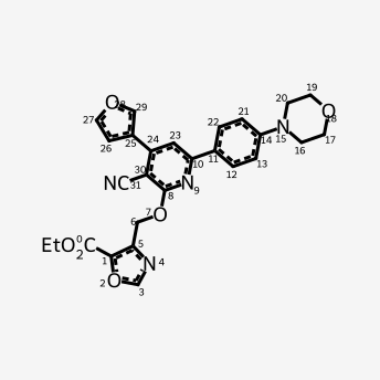 CCOC(=O)c1ocnc1COc1nc(-c2ccc(N3CCOCC3)cc2)cc(-c2ccoc2)c1C#N